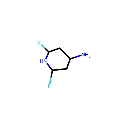 NC1CC(F)NC(F)C1